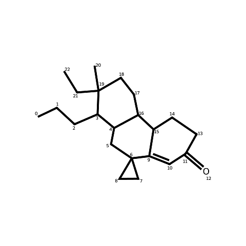 CCCC1C2CC3(CC3)C3=CC(=O)CCC3C2CCC1(C)CC